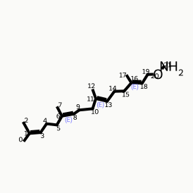 CC(C)=CCC/C(C)=C/CC/C(C)=C/CC/C(C)=C/CON